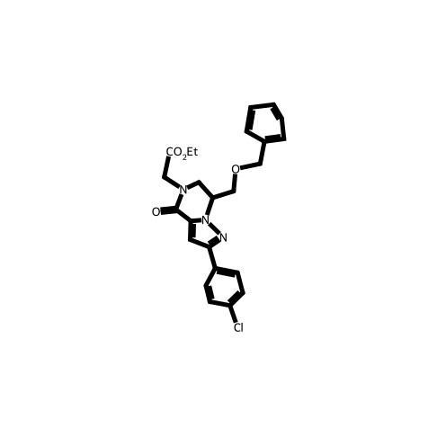 CCOC(=O)CN1CC(COCc2ccccc2)n2nc(-c3ccc(Cl)cc3)cc2C1=O